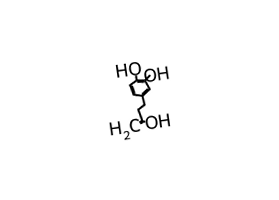 C=C(O)CCc1ccc(O)c(O)c1